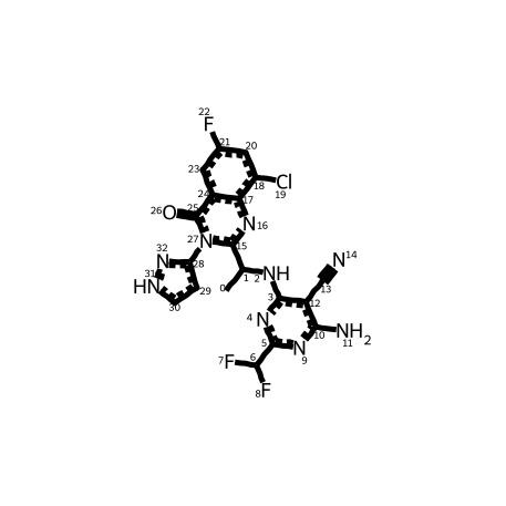 CC(Nc1nc(C(F)F)nc(N)c1C#N)c1nc2c(Cl)cc(F)cc2c(=O)n1-c1cc[nH]n1